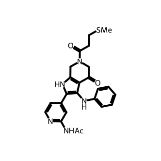 CSCCC(=O)N1CC(=O)c2c([nH]c(-c3ccnc(NC(C)=O)c3)c2Nc2ccccc2)C1